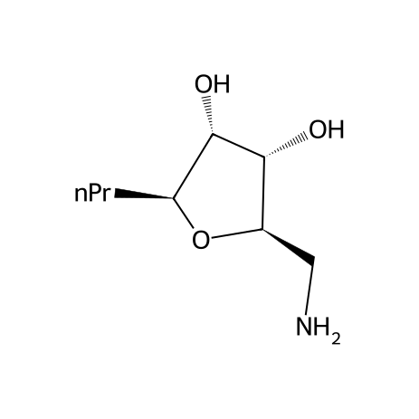 CCC[C@@H]1O[C@H](CN)[C@@H](O)[C@H]1O